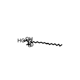 CCCCCCCCC=CCCCCCCCC(=O)OC(C(C)=O)C(O)CO